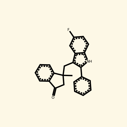 CC1(Cc2c(-c3ccccc3)[nH]c3ccc(F)cc23)CC(=O)c2ccccc21